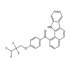 O=C(c1ccc(OCC(F)(F)C(F)F)cc1)c1cccc2ccc3c4ccccc4[nH]c3c12